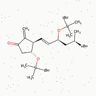 C=C1C(=O)C[C@@H](O[Si](C)(C)C(C)(C)C)[C@@H]1/C=C/[C@H](C[C@@H](C)CCCC)O[Si](C)(C)C(C)(C)C